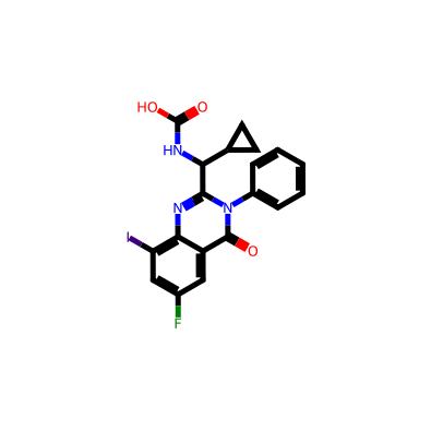 O=C(O)NC(c1nc2c(I)cc(F)cc2c(=O)n1-c1ccccc1)C1CC1